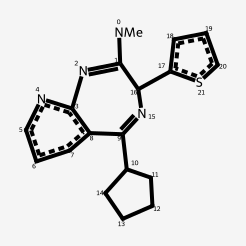 CNC1=Nc2ncccc2C(C2CCCC2)=NC1c1cccs1